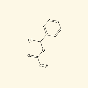 CC(OC(=O)C(=O)O)c1ccccc1